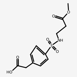 COC(=O)CCNS(=O)(=O)c1ccc(CC(=O)O)cc1